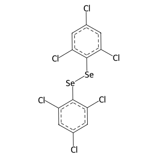 Clc1cc(Cl)c([Se][Se]c2c(Cl)cc(Cl)cc2Cl)c(Cl)c1